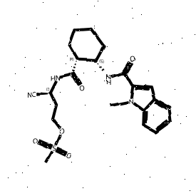 Cn1c(C(=O)N[C@H]2CCCC[C@H]2C(=O)N[C@H](C#N)CCOS(C)(=O)=O)cc2ccccc21